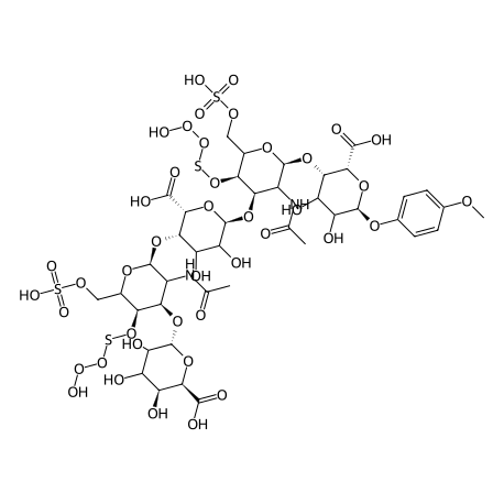 COc1ccc(O[C@@H]2O[C@@H](C(=O)O)[C@@H](O[C@@H]3OC(COS(=O)(=O)O)[C@H](OSOOO)[C@H](O[C@@H]4O[C@@H](C(=O)O)[C@@H](O[C@@H]5OC(COS(=O)(=O)O)[C@H](OSOOO)[C@H](O[C@@H]6O[C@@H](C(=O)O)[C@@H](O)C(O)C6O)C5NC(C)=O)C(O)C4O)C3NC(C)=O)C(O)C2O)cc1